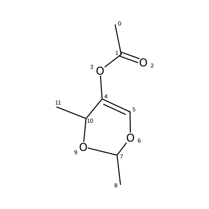 CC(=O)OC1=COC(C)OC1C